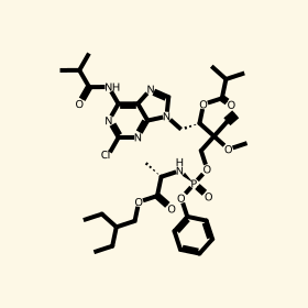 C#CC(CO[P@@](=O)(N[C@@H](C)C(=O)OCC(CC)CC)Oc1ccccc1)(OC)[C@H](Cn1cnc2c(NC(=O)C(C)C)nc(Cl)nc21)OC(=O)C(C)C